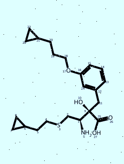 N[C@@H](CSCCC1CC1)[C@](O)(Cc1cccc(OCCCC2CC2)c1)C(=O)O